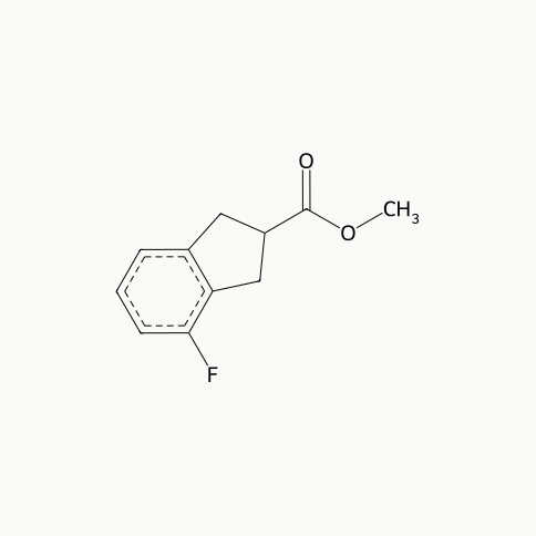 COC(=O)C1Cc2cccc(F)c2C1